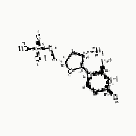 C[C@H]1C[C@@H](COP(=O)(O)O)OC1n1ccc(=O)[nH]c1=O